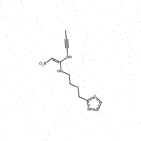 CC#CN/C(=C/[N+](=O)[O-])NCCSCc1nccs1